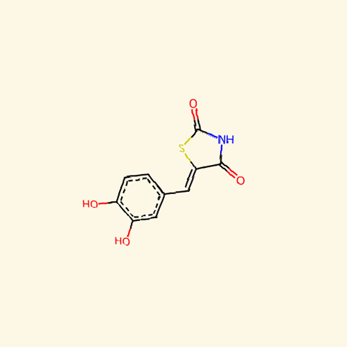 O=C1NC(=O)/C(=C/c2ccc(O)c(O)c2)S1